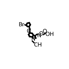 C#CCn1cc(C=NOCC(=O)O)c2cc(OCc3cccc(Br)c3)ccc21